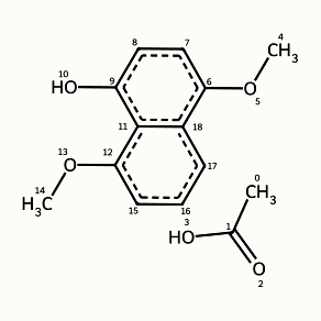 CC(=O)O.COc1ccc(O)c2c(OC)cccc12